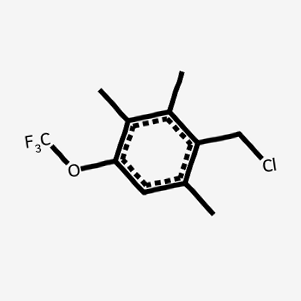 Cc1cc(OC(F)(F)F)c(C)c(C)c1CCl